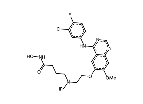 COc1cc2ncnc(Nc3ccc(F)c(Cl)c3)c2cc1OCCN(CCCC(=O)NO)C(C)C